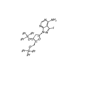 CC(C)[Si](OC[C@@H]1O[C@H](n2nc(I)c3c(N)ncnc32)C[C@@H]1O[Si](C(C)C)(C(C)C)C(C)C)(C(C)C)C(C)C